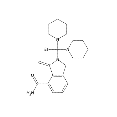 CCC(N1CCCCC1)(N1CCCCC1)N1Cc2cccc(C(N)=O)c2C1=O